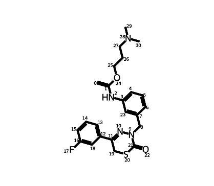 C=C(Nc1cccc(CN2N=C(c3cccc(F)c3)CSC2=O)c1)OCCCN(C)C